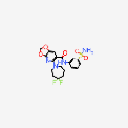 NS(=O)(=O)c1cccc(NC(=O)c2cc3c(nc2N2CCCC(F)(F)CC2)OCO3)c1